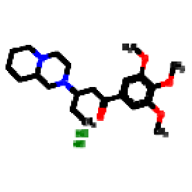 CCC(CC(=O)c1cc(OC)c(OC)c(OC)c1)N1CCN2CCCCC2C1.Cl.Cl